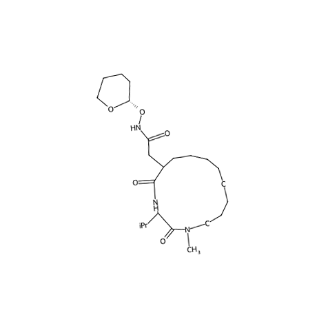 CC(C)C1NC(=O)C(CC(=O)NO[C@H]2CCCCO2)CCCCCCCCN(C)C1=O